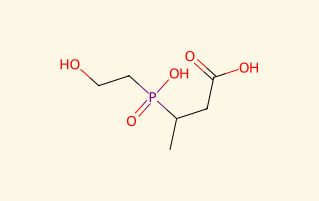 CC(CC(=O)O)P(=O)(O)CCO